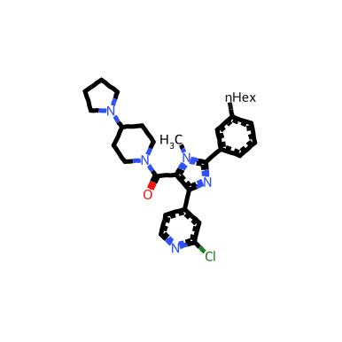 CCCCCCc1cccc(-c2nc(-c3ccnc(Cl)c3)c(C(=O)N3CCC(N4CCCC4)CC3)n2C)c1